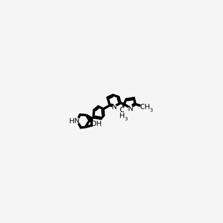 CC1=NC(C)(c2cccc(-c3ccc(C4(O)C5CCC4CNC5)cc3)n2)C=C1